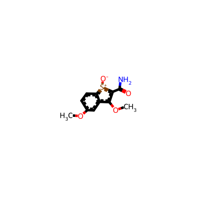 COc1ccc2c(c1)c(OC)c(C(N)=O)[s+]2[O-]